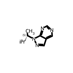 CC(C)[C@H](C)n1ncc2cncnc21